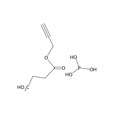 C#CCOC(=O)CCC(=O)O.OP(O)O